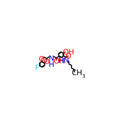 CCCCCCNC(=O)c1cc(C(O)CNCC2COc3cc(F)ccc3O2)ccc1O